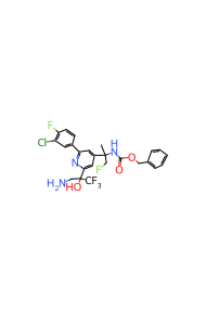 CC(CF)(NC(=O)OCc1ccccc1)c1cc(-c2ccc(F)c(Cl)c2)nc(C(O)(CN)C(F)(F)F)c1